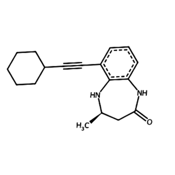 C[C@@H]1CC(=O)Nc2cccc(C#CC3CCCCC3)c2N1